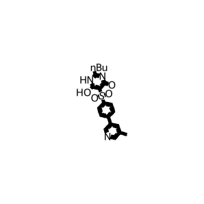 CCCCc1nc(=O)c(S(=O)(=O)c2ccc(-c3cncc(C)c3)cc2)c(O)[nH]1